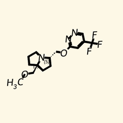 COC[C@@]12CCCN1[C@H](COc1cc(C(F)(F)F)cnn1)CC2